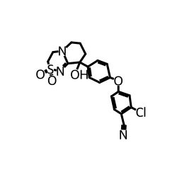 N#Cc1ccc(Oc2ccc(C3(O)CCCN4CCS(=O)(=O)N=C43)cc2)cc1Cl